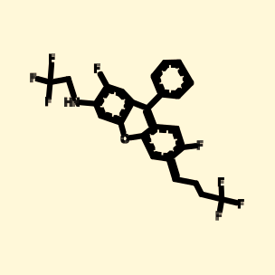 Fc1cc2c(cc1NCC(F)(F)F)Oc1c/c(=C/CCC(F)(F)F)c(F)cc1=C2c1ccccc1